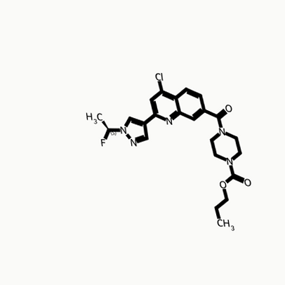 CCCOC(=O)N1CCN(C(=O)c2ccc3c(Cl)cc(-c4cnn([C@H](C)F)c4)nc3c2)CC1